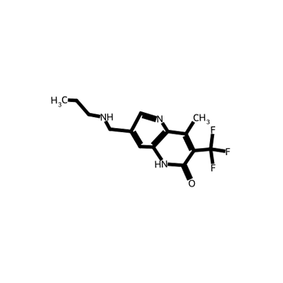 CCCNCc1cnc2c(C)c(C(F)(F)F)c(=O)[nH]c2c1